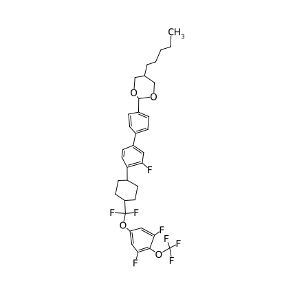 CCCCCC1COC(c2ccc(-c3ccc(C4CCC(C(F)(F)Oc5cc(F)c(OC(F)(F)F)c(F)c5)CC4)c(F)c3)cc2)OC1